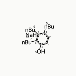 CCCCc1ccc(O)c(CCCC)c1CCCC.[NaH]